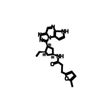 CC[C@@H]1C[C@H](NC(=O)CCc2ccc(C)o2)C[C@@H]1c1nnc2cnc3[nH]ccc3n12